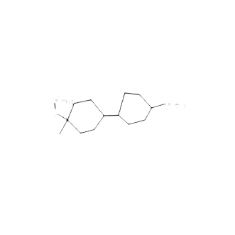 CCCCCSC1(C)CCC(C2CCC(CCCCC)CC2)CC1